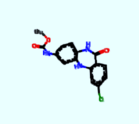 CC(C)(C)OC(=O)Nc1ccc2c(c1)Nc1cc(Cl)ccc1C(=O)N2